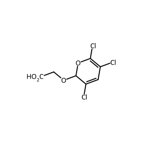 O=C(O)COC1OC(Cl)=C(Cl)C=C1Cl